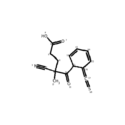 CC(C#N)(CCC(=O)O)C(=O)C1C=CC=CC1=C=S